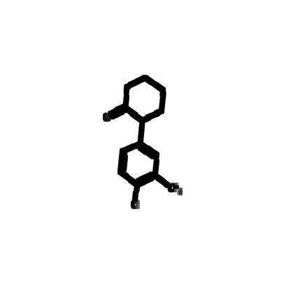 O=C1CCCCC1c1ccc(Cl)c(C(F)(F)F)c1